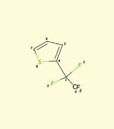 FC(F)(F)C(F)(F)c1cc[c]s1